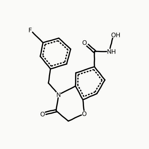 O=C(NO)c1ccc2c(c1)N(Cc1cccc(F)c1)C(=O)CO2